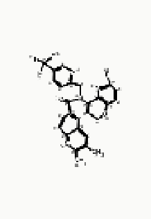 Cc1cc2cc(C(=O)N(Cc3ccc(C(F)(F)F)cn3)[C@@H]3CCOc4ccc(F)nc43)ccc2nc1N